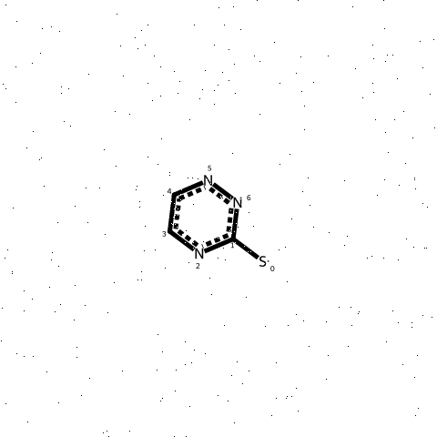 [S]c1nccnn1